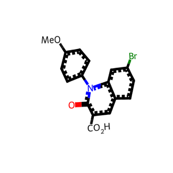 COc1ccc(-n2c(=O)c(C(=O)O)cc3ccc(Br)cc32)cc1